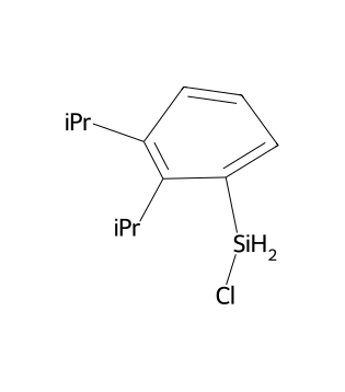 CC(C)c1cccc([SiH2]Cl)c1C(C)C